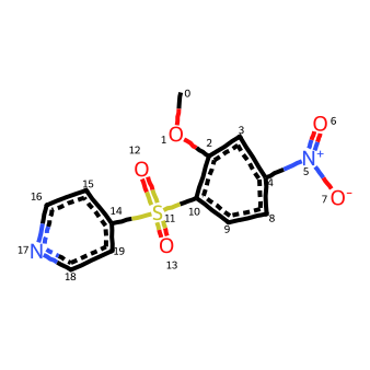 COc1cc([N+](=O)[O-])ccc1S(=O)(=O)c1ccncc1